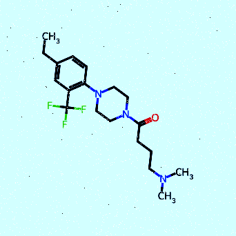 CCc1ccc(N2CCN(C(=O)CCCN(C)C)CC2)c(C(F)(F)F)c1